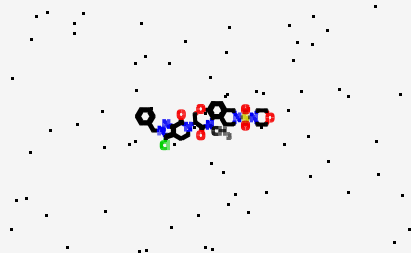 CN1C(=O)[C@@H](N2CCc3c(nn(Cc4ccccc4)c3Cl)C2=O)COc2ccc3c(c21)CCN(S(=O)(=O)N1CCOCC1)C3